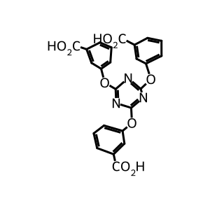 O=C(O)c1cccc(Oc2nc(Oc3cccc(C(=O)O)c3)nc(Oc3cccc(C(=O)O)c3)n2)c1